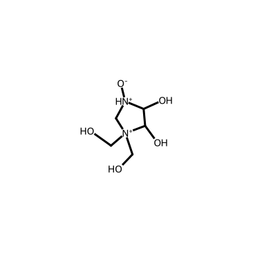 [O-][NH+]1C[N+](CO)(CO)C(O)C1O